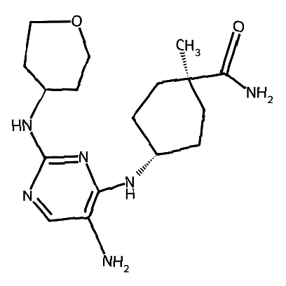 C[C@]1(C(N)=O)CC[C@H](Nc2nc(NC3CCOCC3)ncc2N)CC1